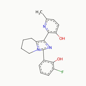 Cc1ccc(O)c(-c2nc(-c3cccc(F)c3O)n3c2CCCC3)n1